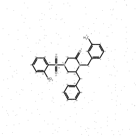 Cc1cccc(CN2C(=O)CN(S(=O)(=O)c3ccccc3[N+](=O)[O-])CC2Cc2ccccc2)c1